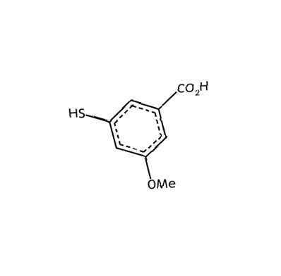 COc1cc(S)cc(C(=O)O)c1